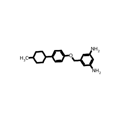 CC1CCC(c2ccc(OCc3cc(N)cc(N)c3)cc2)CC1